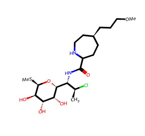 COCCC[C@@H]1CCNC(C(=O)N[C@@H]([C@H]2O[C@H](SC)[C@H](O)[C@@H](O)[C@H]2O)[C@H](C)Cl)CC1